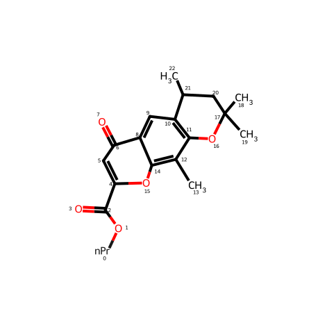 CCCOC(=O)c1cc(=O)c2cc3c(c(C)c2o1)OC(C)(C)CC3C